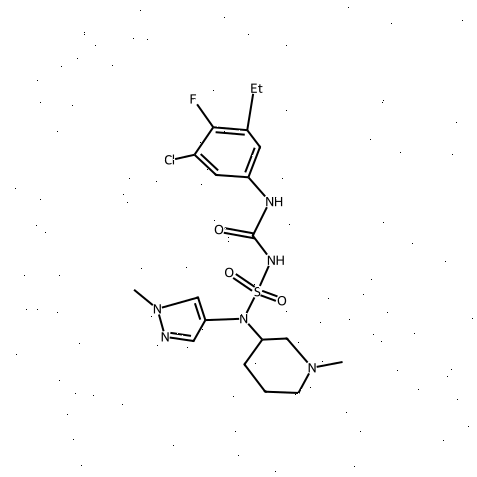 CCc1cc(NC(=O)NS(=O)(=O)N(c2cnn(C)c2)C2CCCN(C)C2)cc(Cl)c1F